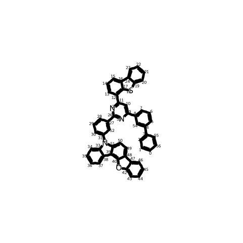 c1ccc(-c2cccc(-c3cc(-c4cccc5c4sc4ccccc45)nc(-c4cccc(-n5c6ccccc6c6c7oc8ccccc8c7ccc65)c4)n3)c2)cc1